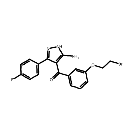 Nc1[nH]nc(-c2ccc(F)cc2)c1C(=O)c1cccc(OCCBr)c1